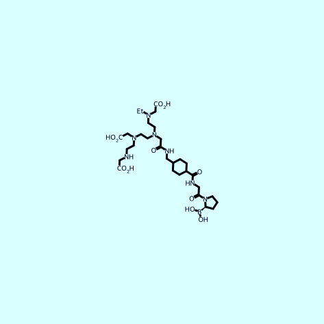 CCN(CCN(CCN(CCNCC(=O)O)CC(=O)O)CC(=O)NCC1CCC(C(=O)NCC(=O)N2CCC[C@H]2B(O)O)CC1)CC(=O)O